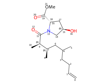 C=CCCC(C)C[C@@H](C)[C@@H](C)C(=O)N1C[C@H](O)C[C@H]1C(=O)OC